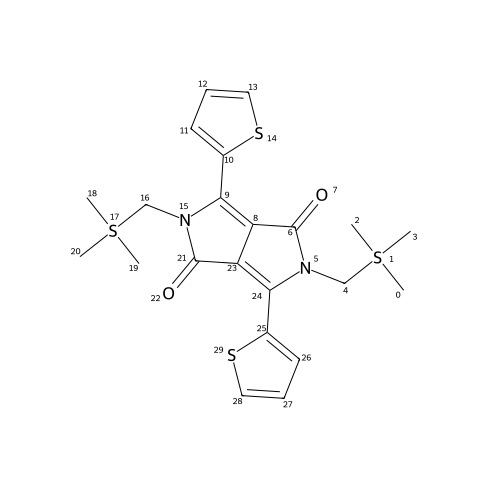 CS(C)(C)CN1C(=O)C2=C(c3cccs3)N(CS(C)(C)C)C(=O)C2=C1c1cccs1